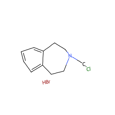 Br.ClCN1CCc2ccccc2CC1